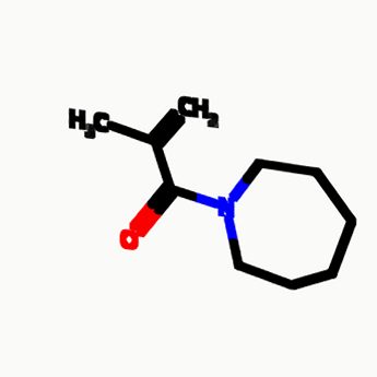 C=C(C)C(=O)N1CCCCCC1